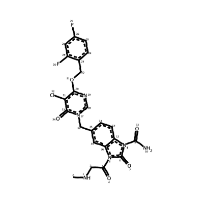 CNCC(=O)n1c(=O)n(C(N)=O)c2ccc(Cn3cnc(OCc4ccc(F)cc4F)c(Cl)c3=O)cc21